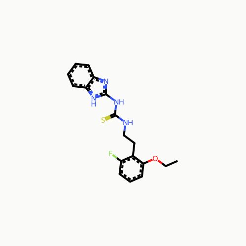 CCOc1cccc(F)c1CCNC(=S)Nc1nc2ccccc2[nH]1